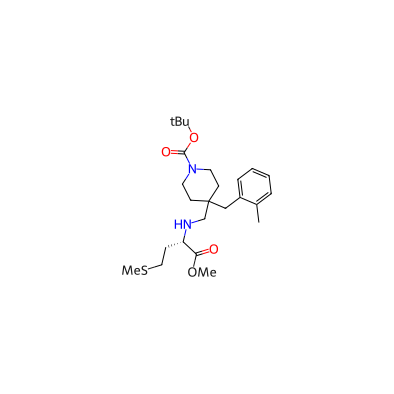 COC(=O)[C@H](CCSC)NCC1(Cc2ccccc2C)CCN(C(=O)OC(C)(C)C)CC1